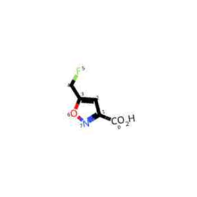 O=C(O)c1cc(CF)on1